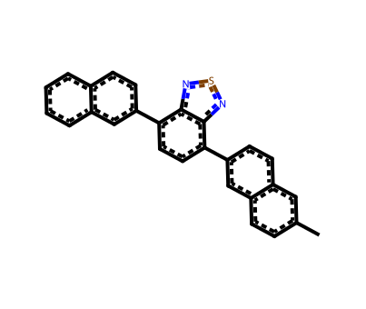 Cc1ccc2cc(-c3ccc(-c4ccc5ccccc5c4)c4nsnc34)ccc2c1